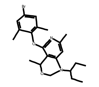 CCC(CC)N1COC(C)c2c1cc(C)nc2Oc1c(C)cc(Br)cc1C